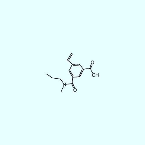 C=Cc1cc(C(=O)O)cc(C(=O)N(C)CCC)c1